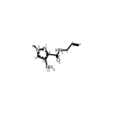 C=CCNC(=O)c1nn(C)cc1N